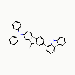 CC(C)C1c2cc(-c3cccc4c3[nH]c3ccccc34)ccc2-c2ccc(N(c3ccccc3)c3ccccc3)cc21